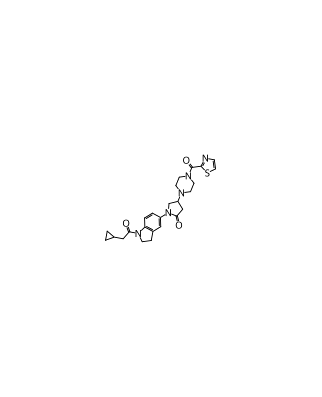 O=C(c1nccs1)N1CCN(C2CC(=O)N(c3ccc4c(c3)CCN4C(=O)CC3CC3)C2)CC1